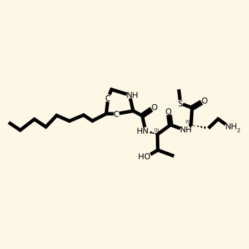 CCCCCCCCC1CCNC(C(=O)N[C@H](C(=O)N[C@@H](CCN)C(=O)SC)C(C)O)C1